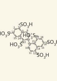 O=S(=O)(O)c1cc(S(=O)(=O)O)c2ccc(-c3[c]cc(S(=O)(=O)O)c4cc(S(=O)(=O)O)cc(S(=O)(=O)O)c34)c(S(=O)(=O)O)c2c1